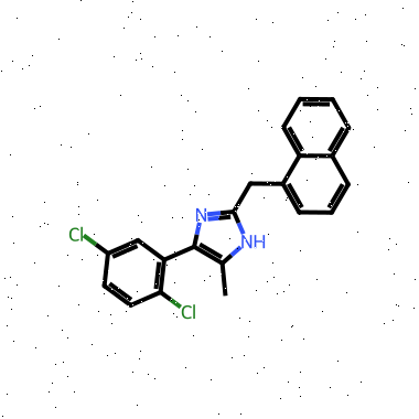 Cc1[nH]c(Cc2cccc3ccccc23)nc1-c1cc(Cl)ccc1Cl